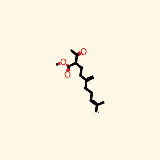 [CH2]/C(C)=C/CCC(=C)CCC(C(C)=O)C(=O)OC